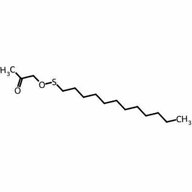 CCCCCCCCCCCCSOCC(C)=O